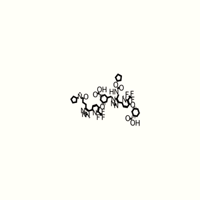 CN(C(=O)CCc1nnn(C)c1-c1ccc(O[C@H]2CC(Cn3nnc(C4C=CC(O[C@H]5CCC[C@H](C(=O)O)C5)=C(C(F)(F)F)N4C)c3CNC(=O)OC3CCCC3)C[C@H](C(=O)O)C2)c(C(F)(F)F)n1)C1CCCC1